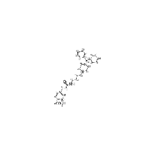 O=C(C=Cc1ccc(C(=O)O)nc1)NCCCCN1CCN(C(c2ccccc2)c2ccccc2)CC1